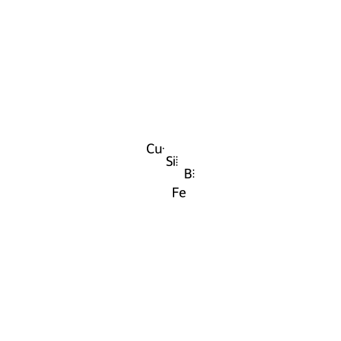 [B].[Cu].[Fe].[Si]